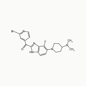 CN(C)C1CCN(c2ccc3[nH]c(C(=O)c4ccnc(Br)c4)nc3c2F)CC1